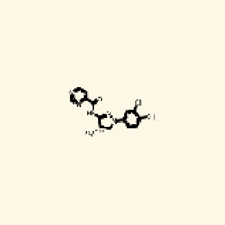 Cc1ccc(N2C[C@H](C)C(NC(=O)c3ccncn3)=N2)cc1Cl